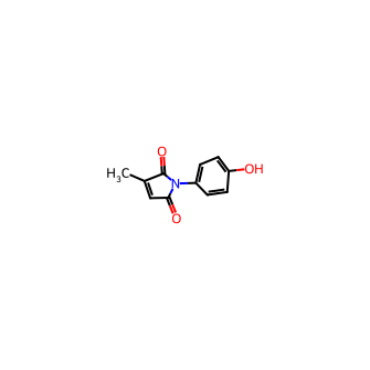 CC1=CC(=O)N(c2ccc(O)cc2)C1=O